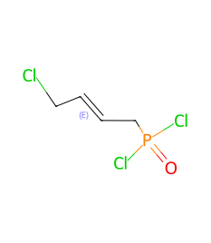 O=P(Cl)(Cl)C/C=C/CCl